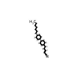 CCCCCCC[C@H]1CC[C@H](C2CCC(CCC=CC#N)CC2)CC1